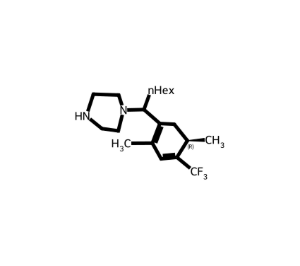 CCCCCCC(C1=C(C)C=C(C(F)(F)F)[C@H](C)C1)N1CCNCC1